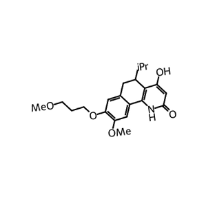 COCCCOc1cc2c(cc1OC)-c1[nH]c(=O)cc(O)c1C(C(C)C)C2